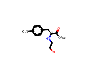 COC(=O)[C@H](Cc1ccc([N+](=O)[O-])cc1)NCCO